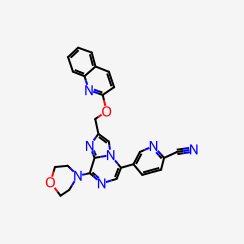 N#Cc1ccc(-c2cnc(N3CCOCC3)c3nc(COc4ccc5ccccc5n4)cn23)cn1